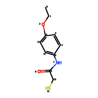 CCOc1ccc(NC(=O)CS)cc1